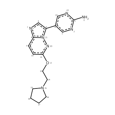 Nc1ncc(-c2cnc3ccc(OCCN4CCCC4)nn23)cn1